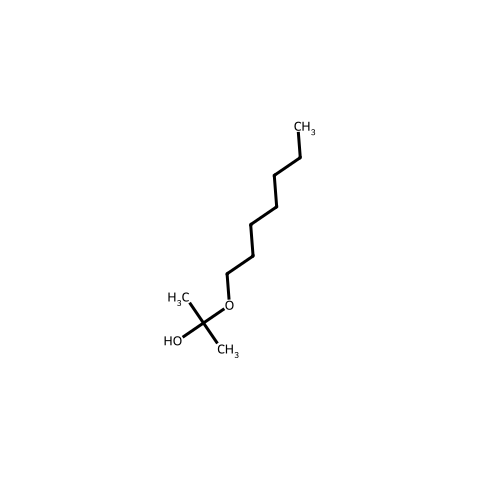 CCCCCCCOC(C)(C)O